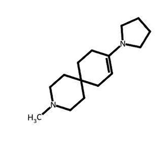 CN1CCC2(CC=C(N3CCCC3)CC2)CC1